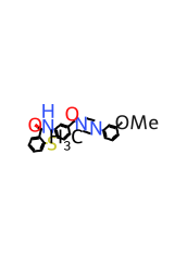 COc1cccc(N2CCN(C(=O)c3ccc4c(c3)NC(=O)c3ccccc3S4)C(C)C2)c1